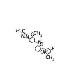 COc1cc(-c2noc3c2CCCC3(O)Cc2cc(C)cc(F)c2)ccc1-n1cnc(C)c1